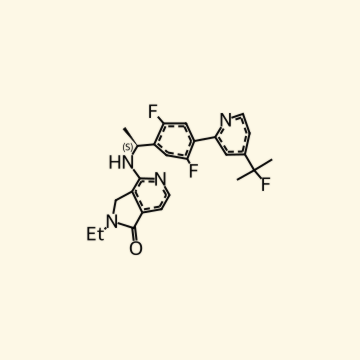 CCN1Cc2c(ccnc2N[C@@H](C)c2cc(F)c(-c3cc(C(C)(C)F)ccn3)cc2F)C1=O